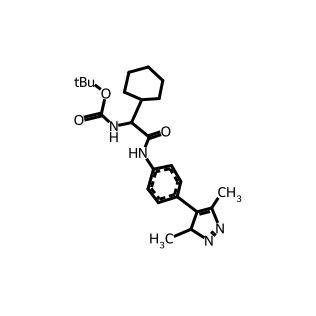 CC1=C(c2ccc(NC(=O)C(NC(=O)OC(C)(C)C)C3CCCCC3)cc2)C(C)N=N1